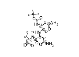 CC(C)(C)OC(=O)N[C@@H](CC(N)=O)C(=O)N[C@@H](CC(N)=O)C(=O)N1CCC[C@H]1C(=O)O